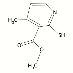 COC(=O)c1c(C)ccnc1S